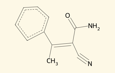 CC(=C(C#N)C(N)=O)c1ccccc1